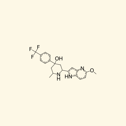 COc1ccc2[nH]c(C3CC(O)(c4ccc(C(F)(F)F)cc4)CC(C)N3)cc2n1